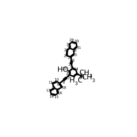 CC(C)(C)c1cc(C#Cc2ccc3ccccc3c2)c(O)c(C#Cc2ccc3ccccc3c2)c1